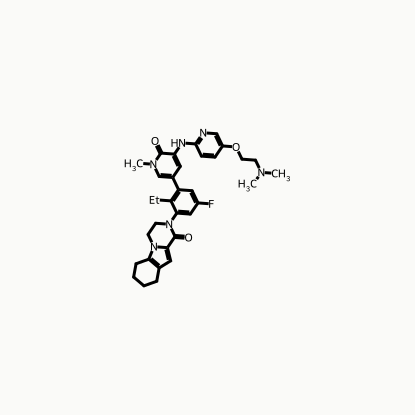 CCc1c(-c2cc(Nc3ccc(OCCN(C)C)cn3)c(=O)n(C)c2)cc(F)cc1N1CCn2c(cc3c2CCCC3)C1=O